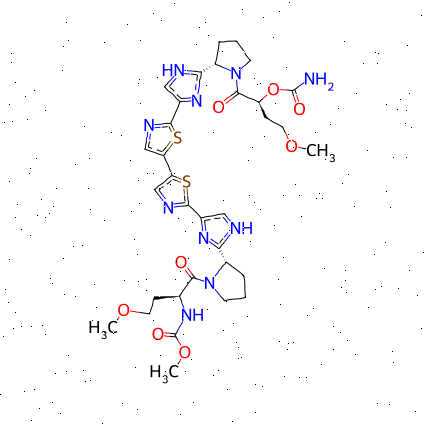 COCC[C@H](NC(=O)OC)C(=O)N1CCC[C@H]1c1nc(-c2ncc(-c3cnc(-c4c[nH]c([C@@H]5CCCN5C(=O)[C@H](CCOC)OC(N)=O)n4)s3)s2)c[nH]1